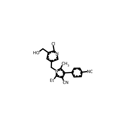 [C-]#[N+]c1ccc(-c2c(C#N)c(CC)n(Cc3cnc(Cl)c(CO)c3)c2C)cc1